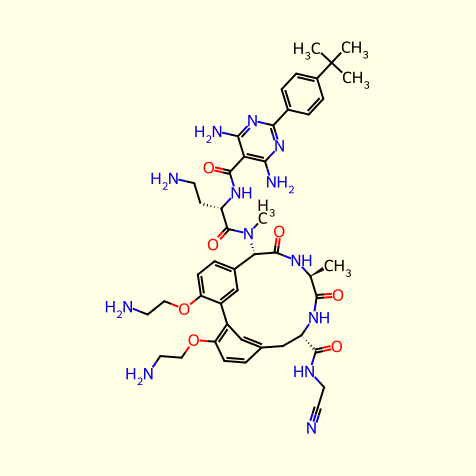 C[C@@H]1NC(=O)[C@@H](N(C)C(=O)[C@H](CCN)NC(=O)c2c(N)nc(-c3ccc(C(C)(C)C)cc3)nc2N)c2ccc(OCCN)c(c2)-c2cc(ccc2OCCN)C[C@@H](C(=O)NCC#N)NC1=O